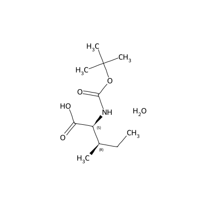 CC[C@@H](C)[C@H](NC(=O)OC(C)(C)C)C(=O)O.O